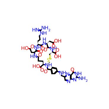 CSSC[C@H](NC(=O)[C@@H](CC(=O)O)NC(=O)[C@@H](CCCNC(=N)N)NC(=O)C(CC(=O)O)NC(=O)CC[C@@H](NC(=O)c1ccc(NCc2cnc3nc(N)[nH]c(=O)c3n2)cc1)C(=O)O)C(=O)O